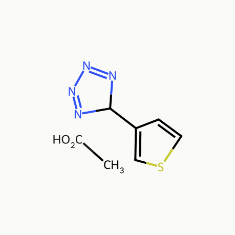 CC(=O)O.c1cc(C2N=NN=N2)cs1